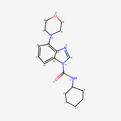 O=C(NC1CCCCC1)n1cnc2c(N3CCOCC3)cccc21